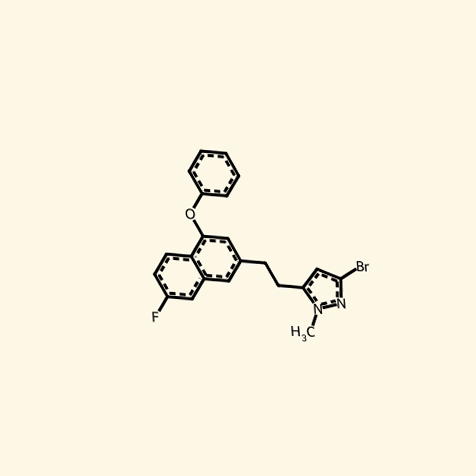 Cn1nc(Br)cc1CCc1cc(Oc2ccccc2)c2ccc(F)cc2c1